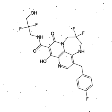 O=C(NCC(F)(F)CO)c1c(O)c2ncc(Cc3ccc(F)cc3)c3c2n(c1=O)CC(F)(F)CN3